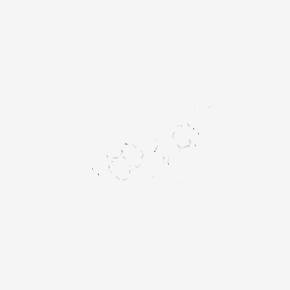 C[C@@H]1COC[C@H](c2ccc(OC(F)F)nn2)N1C(=O)c1cc2c3c(c(N)nc2cc1F)[C@@H](C)OC3